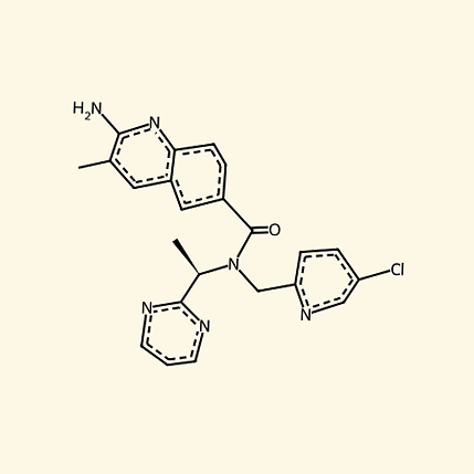 Cc1cc2cc(C(=O)N(Cc3ccc(Cl)cn3)[C@H](C)c3ncccn3)ccc2nc1N